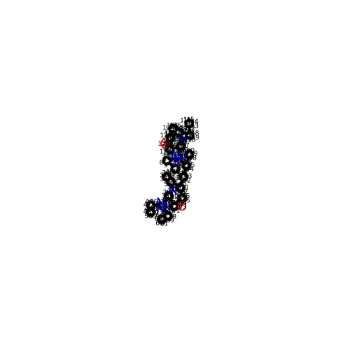 c1ccc(-c2ccccc2-c2nc(-c3cc(-c4ccc(-c5cccc6c5c5cc7ccccc7cc5n6-c5ccc(-c6nc(-c7cccc8ccccc78)nc(-c7cccc8ccccc78)n6)c(-c6cccc7oc8ccccc8c67)c5)cc4)ccc3-c3ccccc3)nc(-c3ccc(-n4c5cc6ccccc6cc5c5c(-c6ccccc6)cccc54)cc3-c3cccc4oc5ccccc5c34)n2)cc1